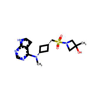 CN(c1ncnc2[nH]ccc12)[C@H]1C[C@@H](CS(=O)(=O)N2CC(C)(O)C2)C1